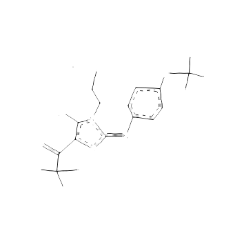 Cc1c(C(=O)C(F)(F)F)sc(=Nc2ccc(OC(F)(F)F)cc2)n1CCO.Cl